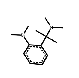 CN(C)C(C)(C)c1cccc[c]1[Bi]([CH3])[CH3]